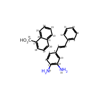 Nc1ccc(C=Cc2ccccc2)cc1N.O=C(O)c1cccc2ccccc12